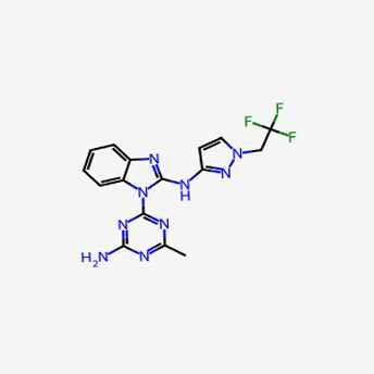 Cc1nc(N)nc(-n2c(Nc3ccn(CC(F)(F)F)n3)nc3ccccc32)n1